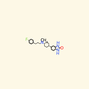 CN(CCCc1ccc(F)cc1)[C@H]1CC[C@H](c2ccc3[nH]c(=O)[nH]c3c2)CC1